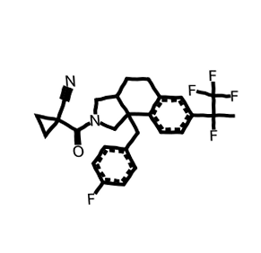 CC(F)(c1ccc2c(c1)CCC1CN(C(=O)C3(C#N)CC3)CC21Cc1ccc(F)cc1)C(F)(F)F